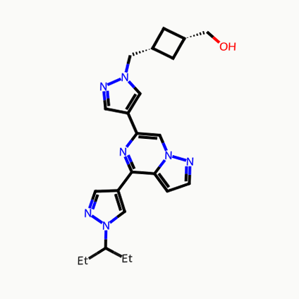 CCC(CC)n1cc(-c2nc(-c3cnn(C[C@H]4C[C@@H](CO)C4)c3)cn3nccc23)cn1